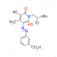 CCCCC(CC)Cn1c(O)c(/N=N/c2cccc(C(=O)O)c2)c(C)c(C#N)c1=O